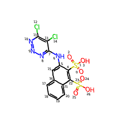 O=S(=O)(O)c1c(Nc2nnnc(Cl)c2Cl)cc2ccccc2c1S(=O)(=O)O